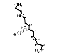 Cl.Cl.Cl.Cl.NCCNCCCCCCNCCN